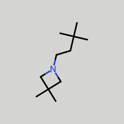 CC(C)(C)CCN1CC(C)(C)C1